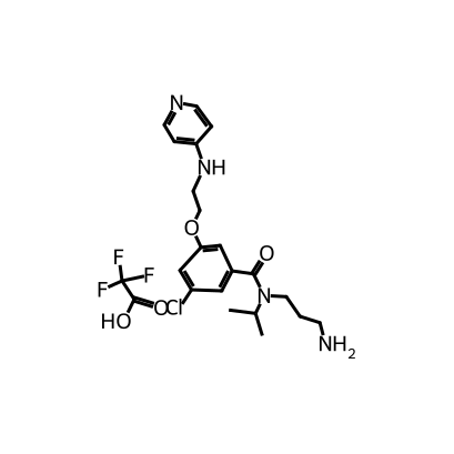 CC(C)N(CCCN)C(=O)c1cc(Cl)cc(OCCNc2ccncc2)c1.O=C(O)C(F)(F)F